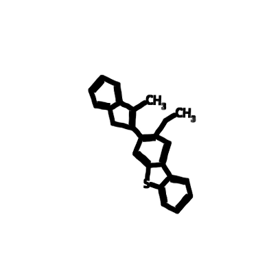 CCc1cc2c(cc1C1=C(C)c3ccccc3C1)sc1ccccc12